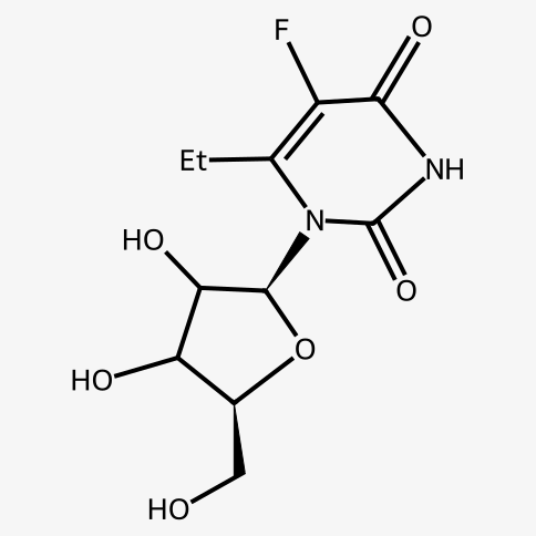 CCc1c(F)c(=O)[nH]c(=O)n1[C@H]1O[C@@H](CO)C(O)C1O